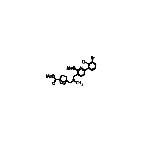 COC(=O)C12CCC(CN(C)Cc3ccc(-c4cccc(Br)c4Cl)nc3OC)(CC1)C2